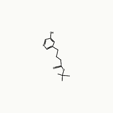 CC(C)(C)OC(=O)CCCc1cncc(O)c1